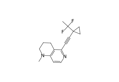 CN1CCCc2c1ccnc2C#CC1(C(C)(F)F)CC1